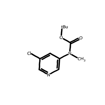 CN(C(=O)OC(C)(C)C)c1cncc(Cl)c1